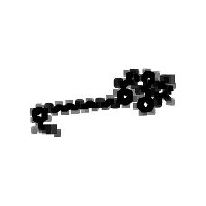 C[C@@H](N)c1cccc(OCCCCCOCCCOCCOc2cccc(C(=O)c3cnc([C@@H]4CCCN4C(=O)[C@@H](NC(=O)[C@H](C)N(C)C(=O)O)C4CCCCC4)s3)c2)c1